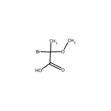 COC(C)(Br)C(=O)O